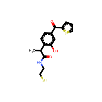 CC(C(=O)NCCS)c1ccc(C(=O)c2cccs2)cc1O